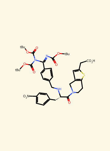 CC(C)(C)OC(=O)N=C(c1ccc(CN[C@@H](Cc2ccc([N+](=O)[O-])cc2)C(=O)N2CCc3sc(CC(=O)O)cc3C2)cc1)N(C(=O)OC(C)(C)C)C(=O)OC(C)(C)C